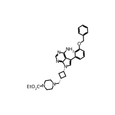 CCOC(=O)N1CCN(C[C@H]2C[C@@H](n3cc(-c4cccc(OCc5ccccc5)c4)c4c(N)ncnc43)C2)CC1